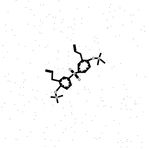 C=CCc1cc(S(=O)(=O)c2ccc(O[Si](C)(C)C)c(CC=C)c2)ccc1O[Si](C)(C)C